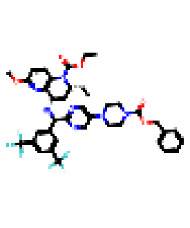 CCOC(=O)N1c2ccc(OC)nc2[C@@H](NC(c2cc(C(F)(F)F)cc(C(F)(F)F)c2)c2ncc(N3CCN(C(=O)OCc4ccccc4)CC3)cn2)C[C@H]1CC